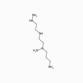 NCCCN(N)CCNCCNN